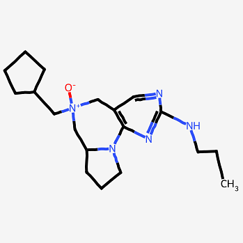 CCCNc1ncc2c(n1)N1CCCC1C[N+]([O-])(CC1CCCC1)C2